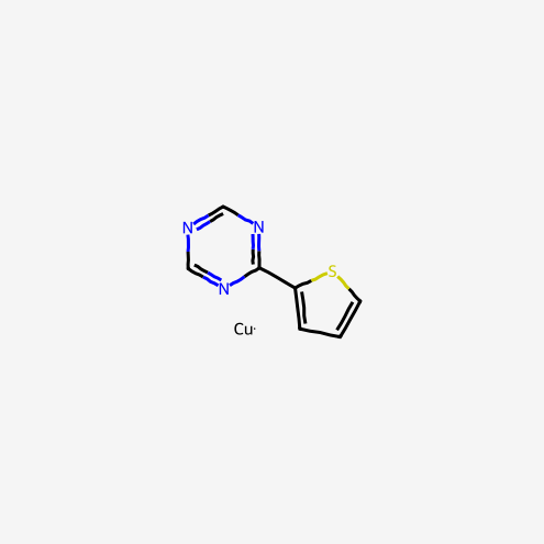 [Cu].c1csc(-c2ncncn2)c1